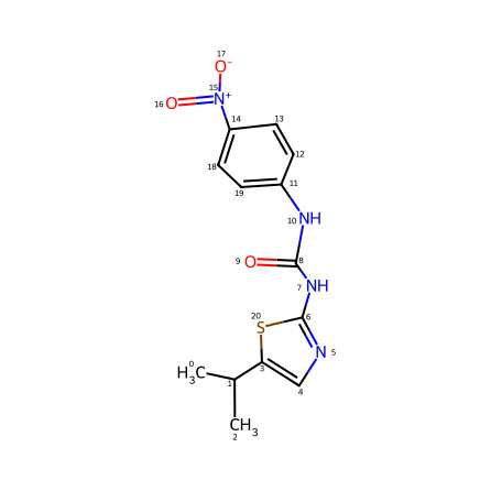 CC(C)c1cnc(NC(=O)Nc2ccc([N+](=O)[O-])cc2)s1